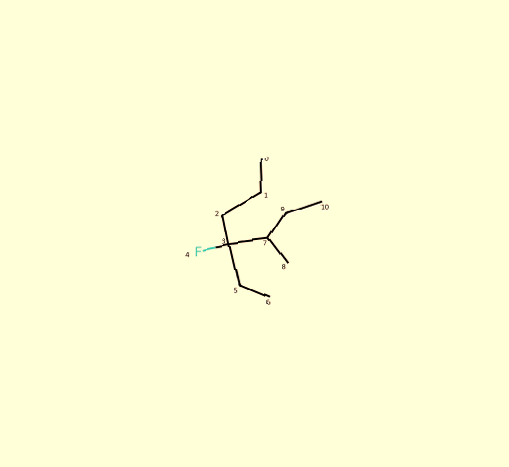 CCCC(F)(CC)C(C)CC